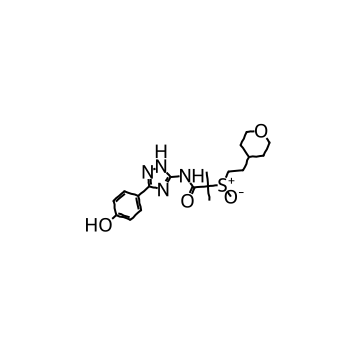 CC(C)(C(=O)Nc1nc(-c2ccc(O)cc2)n[nH]1)[S+]([O-])CCC1CCOCC1